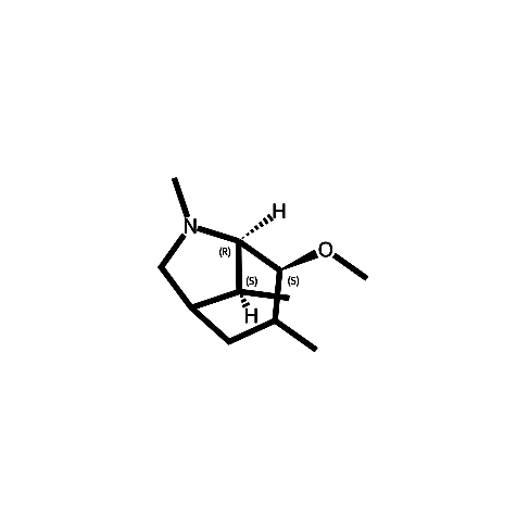 CO[C@H]1C(C)CC2CN(C)[C@@H]1[C@H]2C